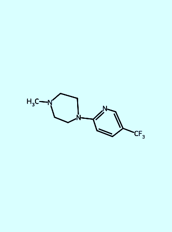 CN1CCN(c2ccc(C(F)(F)F)cn2)CC1